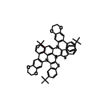 CC(C)(C)c1cc2c3c(c1)N(c1cc4c(cc1-c1ccccc1)OCCO4)c1c(sc4ccc(C(C)(C)C)cc14)B3c1sc3ccc(C(C)(C)C)cc3c1N2c1cc2c(cc1-c1ccccc1)OCCO2